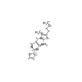 COCCc1sc[n+](Cc2cnc(-c3cccs3)nc2N)c1C